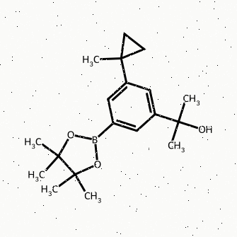 CC(C)(O)c1cc(B2OC(C)(C)C(C)(C)O2)cc(C2(C)CC2)c1